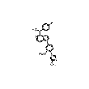 COc1cc(-n2ccc3c(C(C)c4ccc(F)cc4)nccc32)ccc1-n1cnc(C)c1